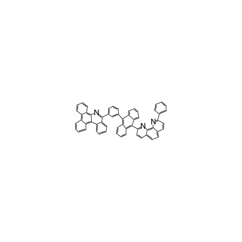 c1ccc(-c2ccc3ccc4ccc(-c5c6ccccc6c(-c6cccc(-c7nc8c9ccccc9c9ccccc9c8c8ccccc78)c6)c6ccccc56)nc4c3n2)cc1